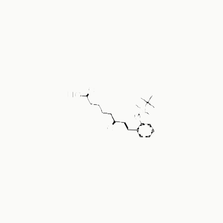 CC(C)(C)[Si](C)(C)Oc1ccccc1/C=C/C(=O)CCCCC(=O)O